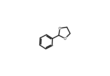 [c]1ccccc1C1OCCO1